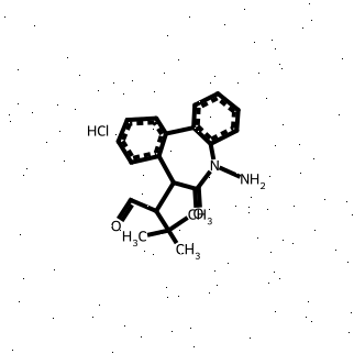 CC(C)(C)C(C=O)C1C(=O)N(N)c2ccccc2-c2ccccc21.Cl